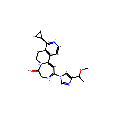 COC(C)c1cn(C2=NCC(=O)N3CCc4c(ccnc4C4CC4)C3=C2)cn1